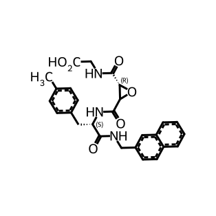 Cc1ccc(C[C@H](NC(=O)C2O[C@H]2C(=O)NCC(=O)O)C(=O)NCc2ccc3ccccc3c2)cc1